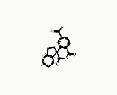 CC(=O)c1ccc2c(c1)C1(CCc3ncccc31)C(=O)NC2=O